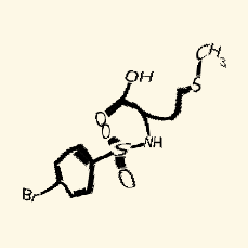 CSCCC(NS(=O)(=O)c1ccc(Br)cc1)C(=O)O